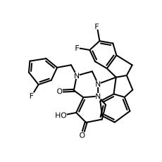 O=C1c2c(O)c(=O)ccn2N(C23c4ccccc4CC2Cc2cc(F)c(F)cc23)CN1Cc1cccc(F)c1